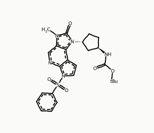 Cn1c(=O)n([C@@H]2CC[C@@H](NC(=O)OC(C)(C)C)C2)c2c3ccn(S(=O)(=O)c4ccccc4)c3ncc21